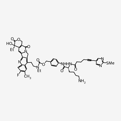 CCN(CCc1c2c(nc3cc(F)c(C)cc13)-c1cc3c(c(=O)n1C2)COC(=O)[C@]3(O)CC)C(=O)OCc1ccc(NC(=O)[C@H](CCCCN)NC(=O)CCCC#Cc2cnc(SC)nc2)cc1